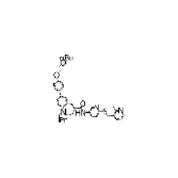 CCCCOCCOc1ccc(-c2ccc3c(c2)C=C(C(=O)Nc2ccc(SCc4cccnc4C)nc2)CCN3CC(C)C)cc1